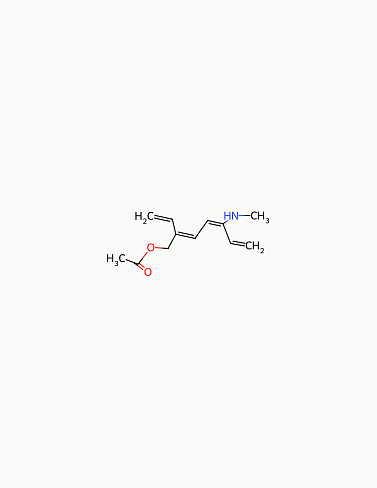 C=C/C(=C\C=C(/C=C)NC)COC(C)=O